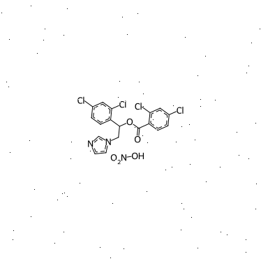 O=C(OC(Cn1ccnc1)c1ccc(Cl)cc1Cl)c1ccc(Cl)cc1Cl.O=[N+]([O-])O